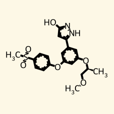 COC[C@H](C)Oc1cc(Oc2ccc(S(C)(=O)=O)cc2)cc(-c2cc(O)n[nH]2)c1